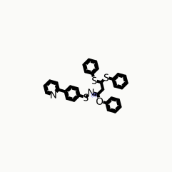 c1ccc(O/C(CC(Sc2ccccc2)Sc2ccccc2)=N\Sc2ccc(-c3ccccn3)cc2)cc1